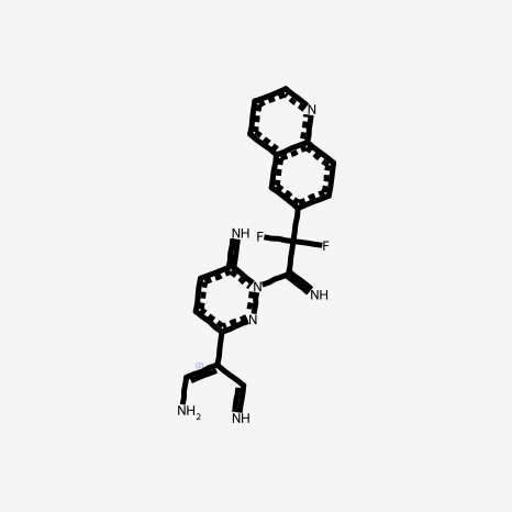 N=C/C(=C\N)c1ccc(=N)n(C(=N)C(F)(F)c2ccc3ncccc3c2)n1